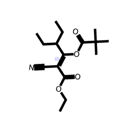 CCOC(=O)/C(C#N)=C(\OC(=O)C(C)(C)C)C(CC)CC